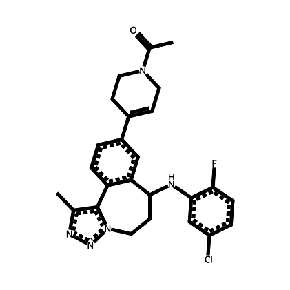 CC(=O)N1CC=C(c2ccc3c(c2)C(Nc2cc(Cl)ccc2F)CCn2nnc(C)c2-3)CC1